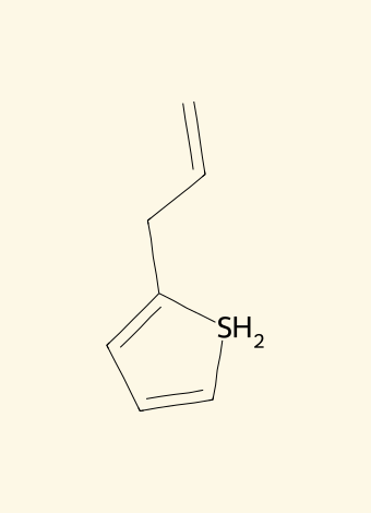 C=CCC1=CC=C[SH2]1